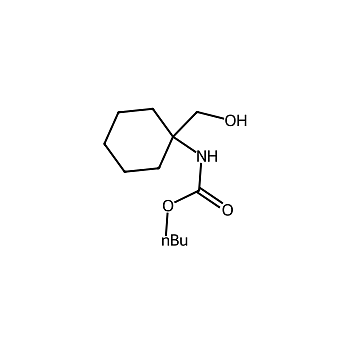 CCCCOC(=O)NC1(CO)CCCCC1